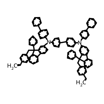 C=Cc1ccc(CC2(c3ccccc3)c3ccccc3-c3ccc(N(c4ccc(-c5ccccc5)cc4)c4ccc(-c5ccc(N(c6ccc(-c7ccccc7)cc6)c6ccc7c(c6)C(Cc6ccc(C=C)cc6)(c6ccccc6)c6ccccc6-7)cc5)cc4)cc32)cc1